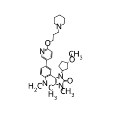 C=Nc1ccc(-c2ccc(OCCCN3CCCCC3)nc2)cc1-c1c(C)n(C)c(=O)n1[C@H]1CC[C@H](OC)C1